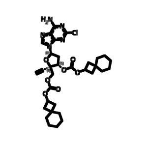 C#C[C@]1(COC(=O)OC2CC3(CCCCC3)C2)O[C@@H](n2cnc3c(N)nc(Cl)nc32)C[C@@H]1OC(=O)OC1CC2(CCCCC2)C1